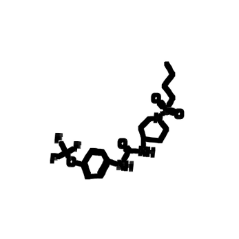 CCCCS(=O)(=O)N1CCC(NC(=O)Nc2ccc(OC(F)(F)F)cc2)CC1